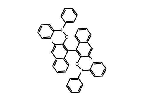 Cc1cc2ccccc2c(-c2c(OP(c3ccccc3)c3ccccc3)c(C)cc3ccccc23)c1OP(c1ccccc1)c1ccccc1